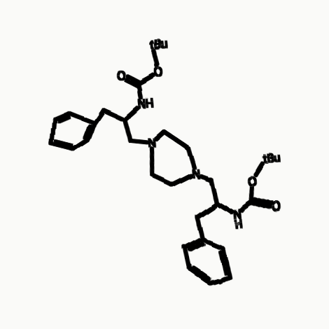 CC(C)(C)OC(=O)NC(Cc1ccccc1)CN1CCN(CC(Cc2ccccc2)NC(=O)OC(C)(C)C)CC1